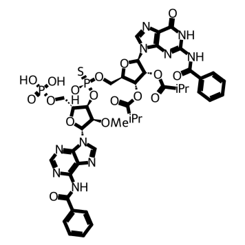 CO[C@@H]1[C@H](O[P@@](O)(=S)OC[C@H]2O[C@@H](n3cnc4c(=O)[nH]c(NC(=O)c5ccccc5)nc43)[C@H](OC(=O)C(C)C)[C@@H]2OC(=O)C(C)C)[C@@H](COP(=O)(O)O)O[C@H]1n1cnc2c(NC(=O)c3ccccc3)ncnc21